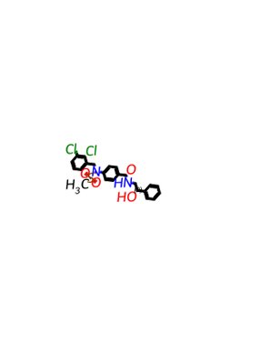 CS(=O)(=O)N(Cc1cccc(Cl)c1Cl)c1ccc(C(=O)NC[C@H](O)c2ccccc2)cc1